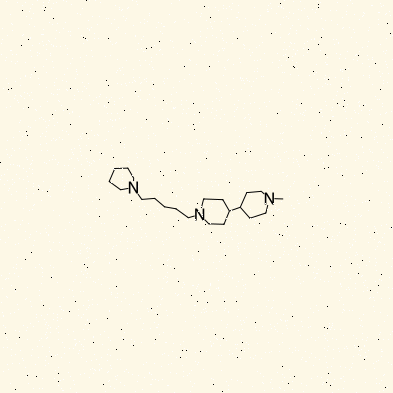 CN1CCC(C2CCN(CCCCCN3CCCCC3)CC2)CC1